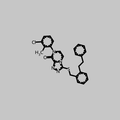 Cc1c(Cl)cccc1-n1ccn2c(SCc3ccccc3CCc3ccccc3)nnc2c1=O